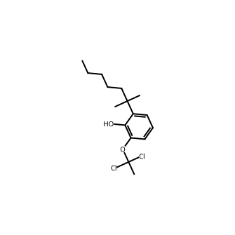 CCCCCC(C)(C)c1cccc(OC(C)(Cl)Cl)c1O